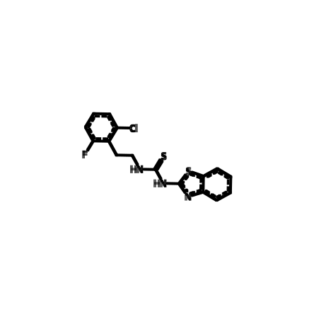 Fc1cccc(Cl)c1CCNC(=S)Nc1nc2ccccc2s1